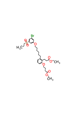 CCCS(=O)(=O)c1cc(Br)cc(OCCCCCCc2cccc(OCCCC(=O)OCC)c2CCC(=O)OCC)c1